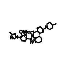 COc1nc(-c2nc3n(n2)CCC[C@H]3c2cc(N3CCC(C)CC3)ccc2Cl)ccc1-n1cnc(C)c1